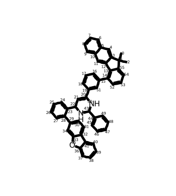 CC1(C)c2cc3ccccc3cc2-c2c(-c3cccc(C4=CC(c5ccccc5-c5ccc6c(c5)oc5ccccc56)NC(c5ccccc5)N4)c3)cccc21